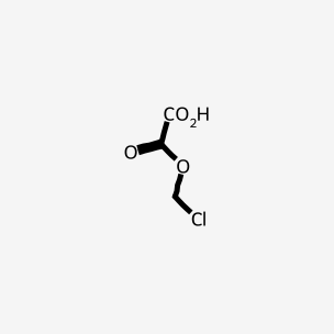 O=C(O)C(=O)OCCl